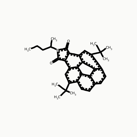 CCCC(C)n1c(=O)c2c3cc(C(C)(C)C)c4ccc5ccc6c(C(C)(C)C)cc(c2c1=O)c1c6c5c4c31